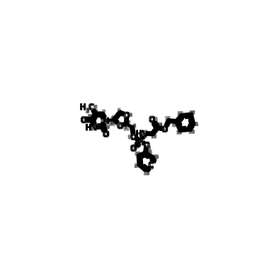 Cc1cn([C@H]2CO[C@@H](COP(=O)(NCC(=O)OCc3ccccc3)Oc3ccccc3)O2)c(=O)[nH]c1=O